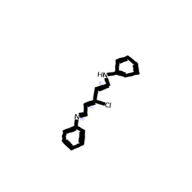 ClC(=C\C=N\c1ccccc1)/C=C/Nc1ccccc1